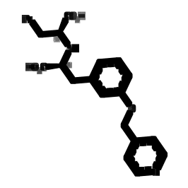 CC(C)C[C@H](N[C@@H](Cc1cccc(OCc2ccncc2)c1)C(=O)O)C(=O)O